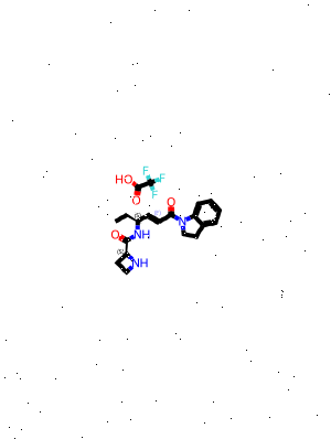 CC[C@@H](/C=C/C(=O)N1CCc2ccccc21)NC(=O)[C@@H]1CCN1.O=C(O)C(F)(F)F